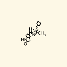 Cc1cnc(Nc2ccc3c(c2)CCC(=O)N3)nc1SCc1ccccc1